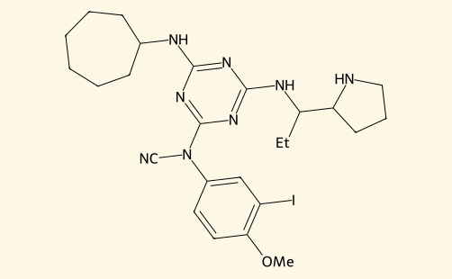 CCC(Nc1nc(NC2CCCCCC2)nc(N(C#N)c2ccc(OC)c(I)c2)n1)C1CCCN1